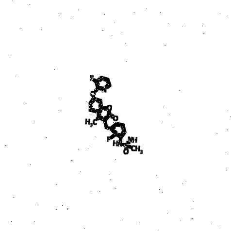 Cc1c(Cc2cccc(NS(C)(=N)=O)c2F)c(=O)oc2cc(Oc3ncccc3F)ccc12